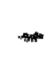 CC1(C)S[C@@H]2C(NC(=O)C(N)c3cccc(N)c3)C(=O)N2C1c1nnn[nH]1